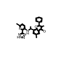 Cc1cc(C(C)Nc2ccc(C)nc2-c2nn[nH]n2)c2oc(-c3ccccc3)c(C)c(=O)c2c1